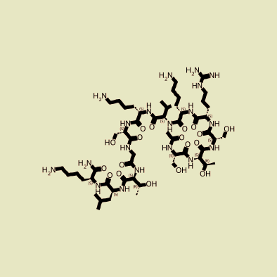 CC(=O)N[C@@H](CO)C(=O)N[C@H](C(=O)N[C@@H](CO)C(=O)N[C@@H](CCCNC(=N)N)C(=O)N[C@@H](CCCCN)C(=O)N[C@H](C(=O)N[C@@H](CCCCN)C(=O)N[C@@H](CO)C(=O)NCC(=O)N[C@H](C(=O)N[C@@H](CC(C)C)C(=O)N[C@@H](CCCCN)C(N)=O)[C@@H](C)O)C(C)C)[C@@H](C)O